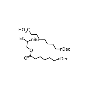 CCCCCCCCCCCCCCCC(=O)OCC(CC)CCCC.CCCCCCCCCCCCCCCCCC(=O)O